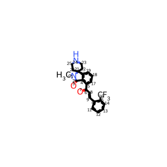 CN1C(=O)c2c(C(=O)/C=C/c3ccccc3C(F)(F)F)cccc2C12CCNCC2